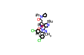 CCOc1cc(C(C)(C)C)ncc1C1=N[C@@](C)(c2ccc(Cl)cc2)[C@@](C)(c2ccc(Cl)cc2)N1C(=O)N1CCC(CC(=O)N(c2ccccc2)C(C)C)CC1